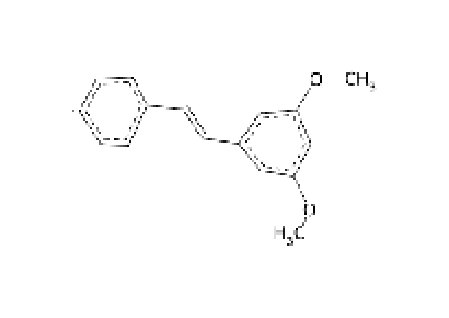 COc1cc(C=Cc2cc[c]cc2)cc(OC)c1